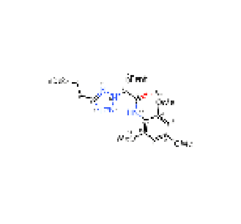 CCCCCCCCCCCCc1nnn(C(CCCCC)C(=O)Nc2c(OC)cc(OC)cc2OC)n1